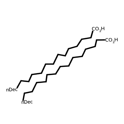 CCCCCCCCCCCCCCCCCCCCCCC(=O)O.CCCCCCCCCCCCCCCCCCCCCCCC(=O)O